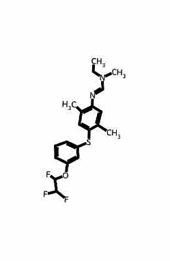 CCN(C)C=Nc1cc(C)c(Sc2cccc(OC(F)C(F)F)c2)cc1C